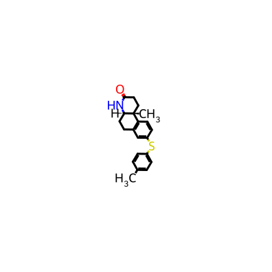 Cc1ccc(Sc2ccc3c(c2)CC[C@H]2NC(=O)CC[C@]32C)cc1